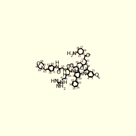 COc1ccc2[nH]cc(C[C@H](CCC(=O)[C@H]3CCC[C@H](N)C3)C(=O)CC[C@@H](Cc3ccc(-c4ccccc4)cc3)C(=O)N[C@@H](CCCCNC(=N)N)C(=O)NCC(=O)Nc3ccc(CN4CCOCC4)cc3)c2c1